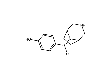 [O-][S+](c1ccc(O)cc1)N1C2CCC1CNC2